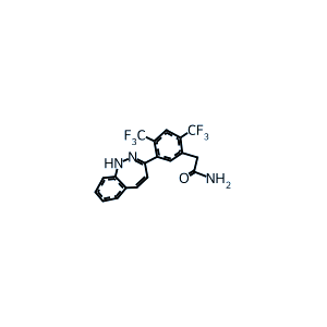 NC(=O)Cc1cc(C2=NNc3ccccc3C=C2)c(C(F)(F)F)cc1C(F)(F)F